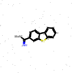 CNC(=N)c1ccc2c(c1)sc1ccccc12